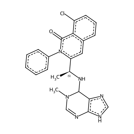 C[C@H](NC1c2nc[nH]c2N=CN1C)c1cc2cccc(Cl)c2c(=O)n1-c1ccccc1